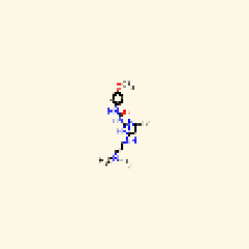 CC(C)C1CC(NCCCN(C)C)NC(NC(=O)Nc2ccc(OC(F)(F)F)cc2)N1